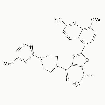 COc1ccnc(N2CCN(C(=O)c3nc(-c4ccc(OC)c5nc(C(F)(F)F)ccc45)oc3[C@H](C)N)CC2)n1